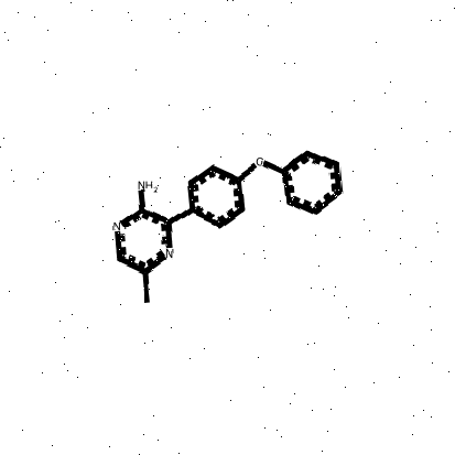 Cc1cnc(N)c(-c2ccc(Oc3ccccc3)cc2)n1